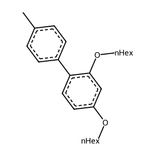 CCCCCCOc1ccc(-c2ccc(C)cc2)c(OCCCCCC)c1